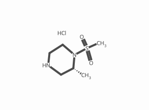 C[C@@H]1CNCCN1S(C)(=O)=O.Cl